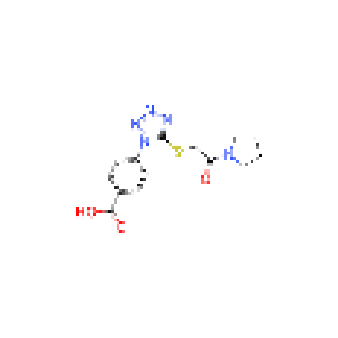 O=C(O)c1ccc(-n2nnnc2SCC(=O)N2CCCC2)cc1